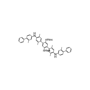 CCCCCCc1cc(-c2cc(C)c(Nc3ccc(-c4ccccc4)c(C)c3)cc2C)c(CCCCCC)cc1-c1cc(C)c(Nc2ccc(-c3ccccc3)c(C)c2)cc1C